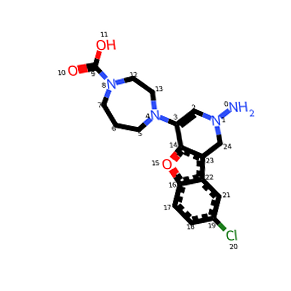 NN1C=C(N2CCCN(C(=O)O)CC2)c2oc3ccc(Cl)cc3c2C1